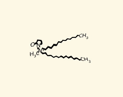 CCCCCCCCCCCCCCCC[N+](C)(CCCCCCCCCCCCCCCC)CN1CCCC1=O